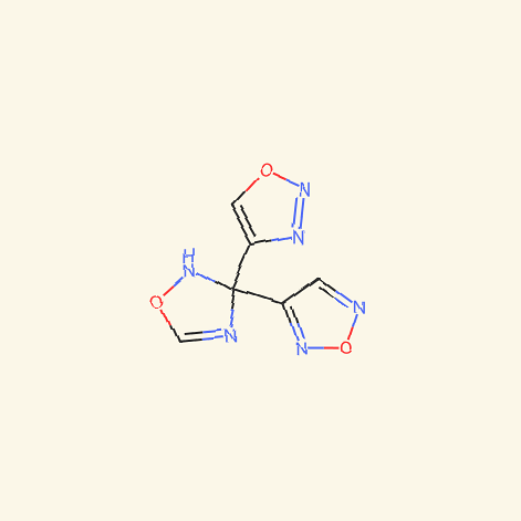 C1=NC(c2conn2)(c2cnon2)NO1